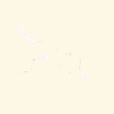 C[C@H](c1ccc([N+](=O)[O-])cc1)[C@@H](CN=[N+]=[N-])NC(=O)C(Cl)Cl